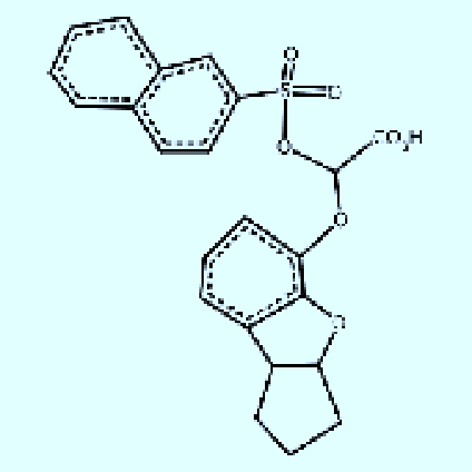 O=C(O)C(Oc1cccc2c1OC1CCCC21)OS(=O)(=O)c1ccc2ccccc2c1